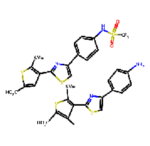 CSc1sc(C(=O)O)c(C)c1-c1nc(-c2ccc(N)cc2)cs1.CSc1sc(C(=O)O)cc1-c1nc(-c2ccc(NS(=O)(=O)C(F)(F)F)cc2)cs1